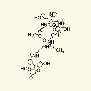 COCC(=O)N[C@H](CCCCCNC(=O)c1ccc(C(=O)O)c(-c2c3ccc(=O)cc-3oc3cc(O)ccc23)c1)C(=O)NCCOCC(=O)N[C@@H](C(=O)N[C@H](Cc1c[nH]cn1)C(=O)N[C@H](CCC(=O)O)C(=O)NCCOCC(C)=O)[C@H](C)O